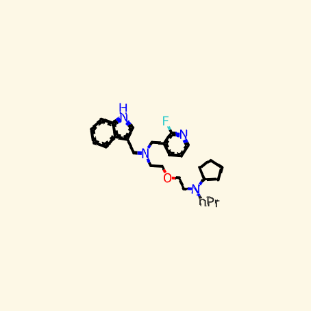 CCCN(CCOCCN(Cc1cccnc1F)Cc1c[nH]c2ccccc12)C1CCCC1